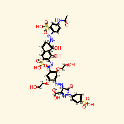 CC(=O)Nc1ccc(/N=N/c2ccc3cc(S(=O)(=O)O)c(/N=N/c4cc(OCCO)c(/N=N/C5C(=O)N(c6ccc(S(=O)(=O)O)cc6)N=C5C(=O)O)cc4OCCO)c(O)c3c2O)c(S(=O)(=O)O)c1